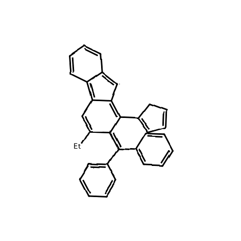 CCc1cc2c(c(C3=CC=CC3)c1=C(c1ccccc1)c1ccccc1)[C]=c1ccccc1=2